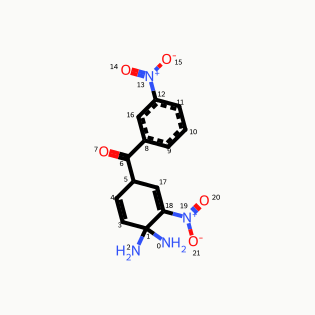 NC1(N)C=CC(C(=O)c2cccc([N+](=O)[O-])c2)C=C1[N+](=O)[O-]